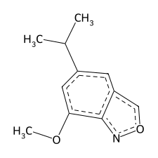 COc1cc(C(C)C)cc2conc12